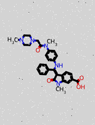 CN1CCN(CC(=O)N(C)c2ccc(NC(=C3C(=O)N(C)c4cc(C(=O)O)ccc43)c3ccccc3)cc2)CC1